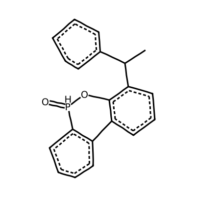 CC(c1ccccc1)c1cccc2c1O[PH](=O)c1ccccc1-2